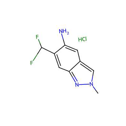 Cl.Cn1cc2cc(N)c(C(F)F)cc2n1